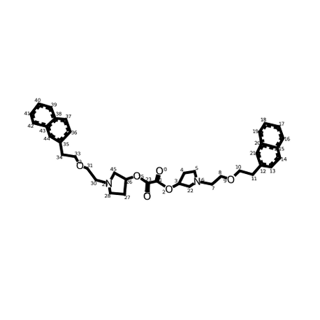 O=C(OC1CCN(CCOCCc2ccc3ccccc3c2)C1)C(=O)OC1CCN(CCOCCc2ccc3ccccc3c2)C1